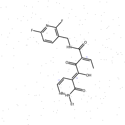 C/C=C(/C(=O)NCc1ccc(F)nc1F)C(=O)/C(O)=C(\C=C/CCCC)C(=O)NCC